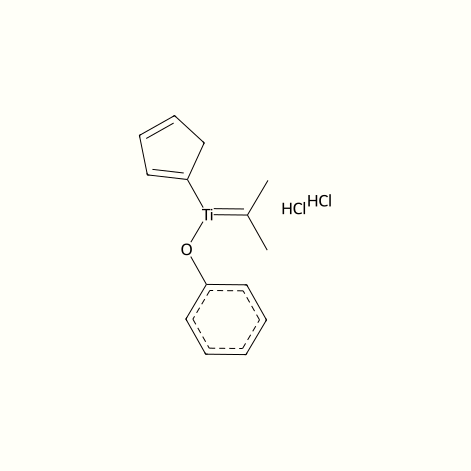 C[C](C)=[Ti]([O]c1ccccc1)[C]1=CC=CC1.Cl.Cl